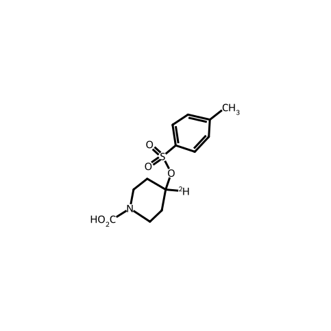 [2H]C1(OS(=O)(=O)c2ccc(C)cc2)CCN(C(=O)O)CC1